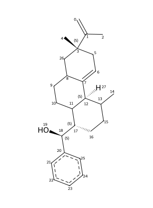 C=C(C)[C@]1(C)CC=C2C(CCC3[C@@H]2C(C)CC[C@@H]3[C@H](O)c2ccccc2)C1